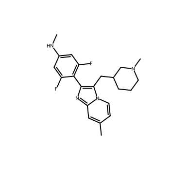 CNc1cc(F)c(-c2nc3cc(C)ccn3c2CC2CCCN(C)C2)c(F)c1